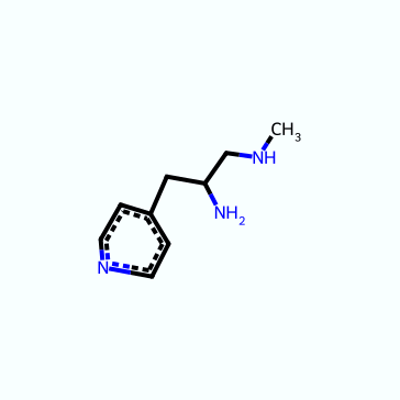 CNCC(N)Cc1ccncc1